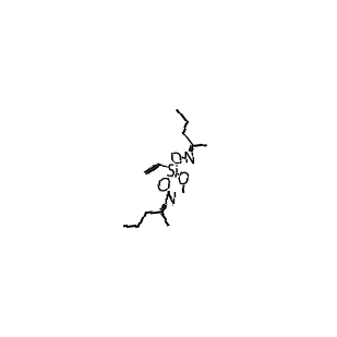 C=C[Si](OC)(ON=C(C)CCC)ON=C(C)CCC